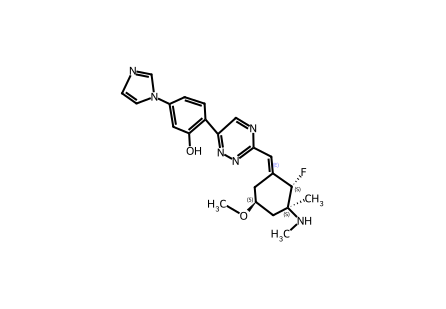 CN[C@@]1(C)C[C@@H](OC)C/C(=C\c2ncc(-c3ccc(-n4ccnc4)cc3O)nn2)[C@@H]1F